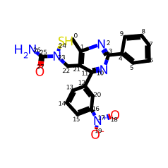 Cc1nc(-c2ccccc2)nc(-c2cccc([N+](=O)[O-])c2)c1CN(S)C(N)=O